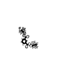 O=C(OOC(F)(F)C(F)(F)Br)c1cccc(C(=O)OOC(F)(F)C(F)(F)Br)c1